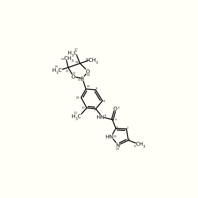 Cc1cc(C(=O)Nc2ccc(B3OC(C)(C)C(C)(C)O3)cc2C)[nH]n1